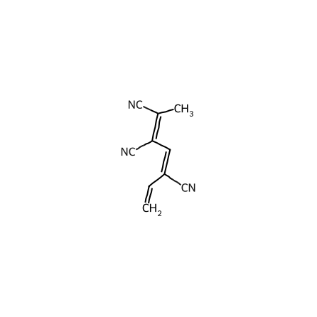 C=C/C(C#N)=C\C(C#N)=C(/C)C#N